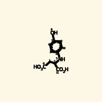 O=C(O)CC(Nc1ccc(O)cc1)C(=O)O